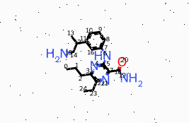 CCCc1nc(Nc2cccc(C(C)CN)c2)c(C(N)=O)nc1CC